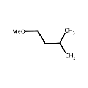 [CH2-][OH+]CCC(C)C